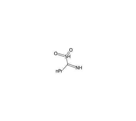 CCCC(=N)[SH](=O)=O